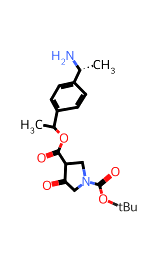 CC(OC(=O)C1CN(C(=O)OC(C)(C)C)CC1=O)c1ccc([C@@H](C)N)cc1